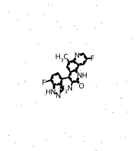 Cc1cc2c(-c3ccc(F)c4[nH]ncc34)c(N)c(=O)[nH]c2c2cc(F)cnc12